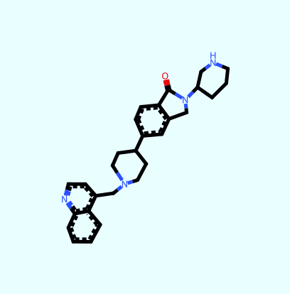 O=C1c2ccc(C3CCN(Cc4ccnc5ccccc45)CC3)cc2CN1C1CCCNC1